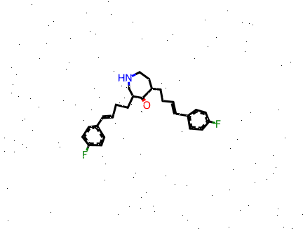 O=C1C(CCC=Cc2ccc(F)cc2)CCNCC1CCC=Cc1ccc(F)cc1